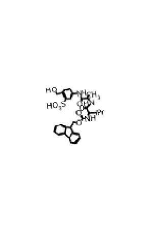 CC(NC(=O)C(NC(=O)OCC1c2ccccc2-c2ccccc21)C(C)C)C(=O)Nc1ccc(CO)c(S(=O)(=O)O)c1